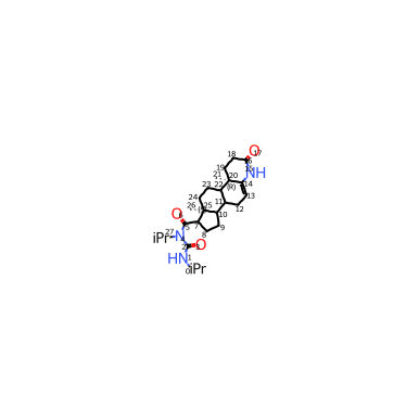 CC(C)NC(=O)N(C(=O)C1CCC2C3CC=C4NC(=O)CC[C@]4(C)C3CC[C@]12C)C(C)C